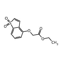 CCOC(=O)COc1cccc2c1C=CS2(=O)=O